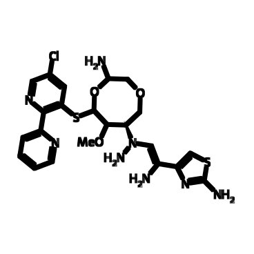 COC1C(Sc2cc(Cl)cnc2-c2ccccn2)OC(N)COC[C@H]1N(N)/C=C(\N)c1csc(N)n1